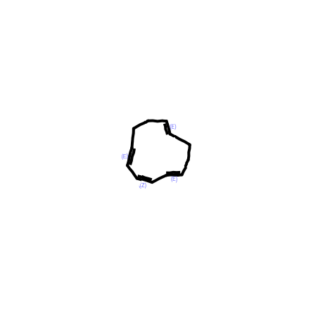 C1=C\C=C\CC/C=C/CC/C=C/1